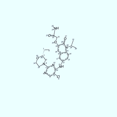 CC[C@@H]1CN(c2ncc(Cl)c(Nc3ccc4c(c3)cc(OCC(=O)NC)c(=O)n4C(C)C)n2)CCO1